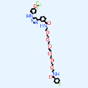 O=C(NCCOCCOCCOCCOCCOCCOCCNC(=O)c1cccc(-c2cc(Nc3ccc(OC(F)(F)F)cc3)ncn2)c1)c1ccc(F)cc1